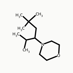 CC(C)C(CC(C)(C)C)N1CCOCC1